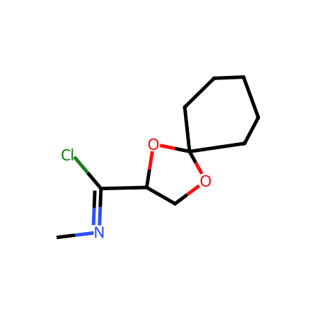 C/N=C(\Cl)C1COC2(CCCCC2)O1